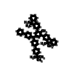 Cc1c(-c2ccc3c(c2)C(C)(C)c2ccccc2-3)cc(N(c2ccc(-c3ccccc3)cc2)c2ccc(-c3ccc(C(C)(C)C)cc3)cc2)cc1-c1ccc2c(c1)C(C)(C)c1ccccc1-2